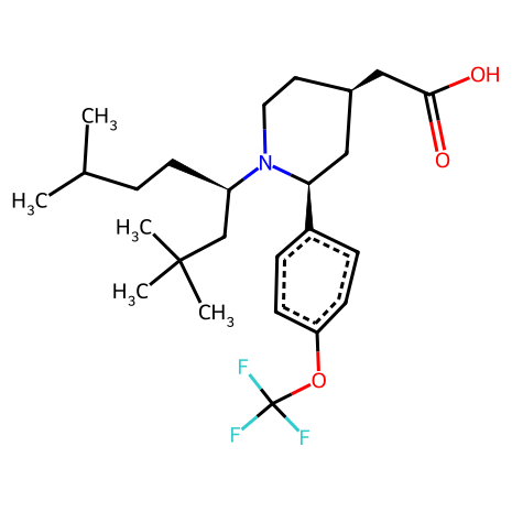 CC(C)CC[C@H](CC(C)(C)C)N1CC[C@@H](CC(=O)O)C[C@H]1c1ccc(OC(F)(F)F)cc1